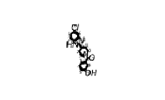 O=C(c1cccc(O)c1)N1CCC(c2nc3cc(Cl)ccc3[nH]2)CC1